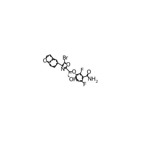 NC(=O)c1c(F)ccc(O[C@H](CO)c2nc(-c3ccc4occc4c3)c(Br)o2)c1F